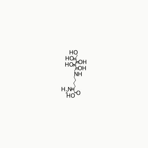 N[C@@H](CCCCNC[C@H](O)[C@@H](O)[C@H](O)[C@H](O)CO)C(=O)O